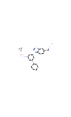 CON=C(C)c1ccc2c(c1)ncn2-c1cc(NS(=O)(=O)C2CC2)cc(-c2ccc(F)cc2F)c1